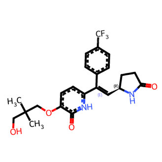 CC(C)(CO)COc1ccc(/C(=C/[C@H]2CCC(=O)N2)c2ccc(C(F)(F)F)cc2)[nH]c1=O